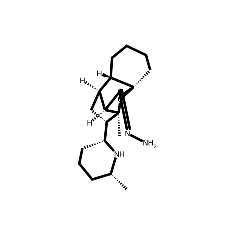 C[C@@H]1CCC[C@H]([C@@H]2C[C@@H]3[C@H]4C(=NN)C[C@]5(CCCC[C@@H]35)O[C@]42C)N1